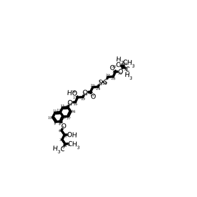 CC(C)CC(O)COc1cccc2cc(OCC(O)COC(=O)CCSSCCC(=O)OC(C)(C)C)ccc12